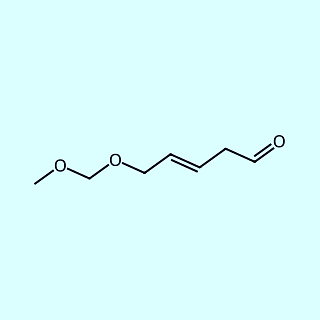 COCOCC=CCC=O